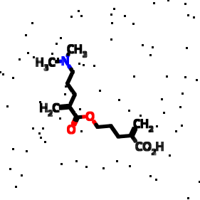 C=C(CCCOC(=O)C(=C)CCCN(C)C)C(=O)O